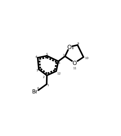 BrCc1cccc(C2OCCO2)c1